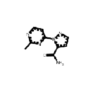 Cc1nccc(-n2nccc2C(N)=O)n1